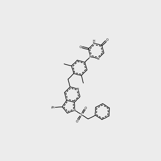 Cc1cc(-n2ncc(=O)[nH]c2=O)cc(C)c1Cc1cc2c(C(C)C)cn(S(=O)(=O)Cc3ccccc3)c2cn1